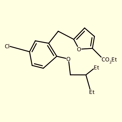 CCOC(=O)c1ccc(Cc2cc(Cl)ccc2OCC(CC)CC)o1